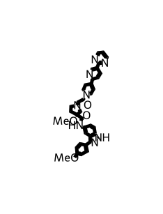 COc1ccc(-c2n[nH]c3ccc(NC(=O)[C@]4(OC)CCN(CC(=O)N5CC=C(c6ccc(-c7ncccn7)cn6)CC5)C4)cc23)cc1